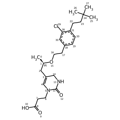 C[C@H](CC1=CN(CCC(=O)O)C(=O)NC1)OCCc1ccc(CCC(C)(C)C)c(Cl)c1